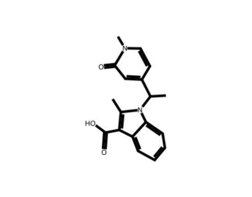 Cc1c(C(=O)O)c2ccccc2n1C(C)c1ccn(C)c(=O)c1